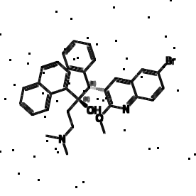 COc1nc2ccc(Br)cc2cc1[C@@H](c1ccccc1)[C@](O)(CCN(C)C)c1cccc2ccccc12